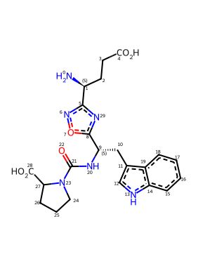 N[C@@H](CCC(=O)O)c1noc([C@H](Cc2c[nH]c3ccccc23)NC(=O)N2CCCC2C(=O)O)n1